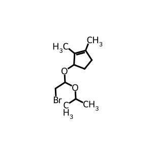 CC1=C(C)C(OC(CBr)OC(C)C)CC1